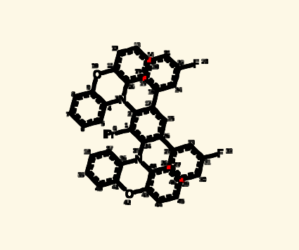 CC(C)c1c(N2c3ccccc3Oc3ccccc32)c(-c2cccc(F)c2)cc(-c2cccc(F)c2)c1N1c2ccccc2Oc2ccccc21